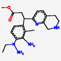 CCN(N)c1ccc(C(CC(=O)OC)c2ccc3c(n2)CNCC3)c(C)c1N